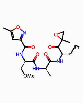 COC[C@H](NC(=O)c1cc(C)on1)C(=O)N[C@@H](C)C(=O)N[C@@H](CC(C)C)C(=O)C1(C)CO1